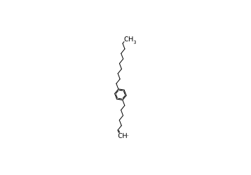 [CH]=CCCCCCc1ccc(CCCCCCCCCC)cc1